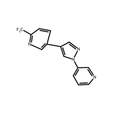 FC(F)(F)c1ccc(-c2cnn(-c3cccnc3)c2)cn1